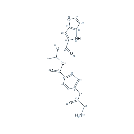 CC(OC(=O)c1ccc(CC(=O)CN)cc1)OC(=O)c1cc2occc2[nH]1